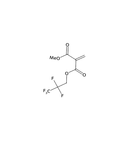 C=C(C(=O)OC)C(=O)OCC(F)(F)C(F)(F)F